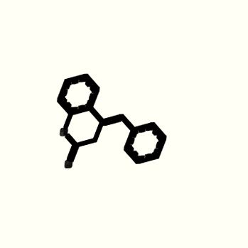 O=C1C/C(=C\c2ccccc2)c2ccccc2O1